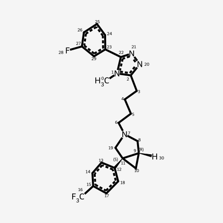 Cn1c(CCCCN2C[C@@H]3C[C@]3(c3ccc(C(F)(F)F)cc3)C2)nnc1-c1cccc(F)c1